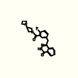 O=C(c1cc(Cc2n[nH]c(=O)c3ccccc23)ccc1F)N1CC(N2CCC2)C1